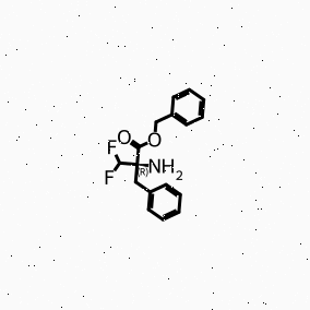 N[C@](Cc1ccccc1)(C(=O)OCc1ccccc1)C(F)F